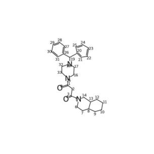 O=C(CC(=O)N1CCC2CCCCC2C1)N1CCN(C(c2ccccc2)c2ccccc2)CC1